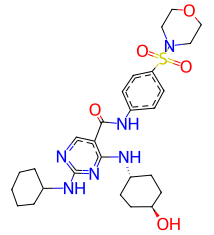 O=C(Nc1ccc(S(=O)(=O)N2CCOCC2)cc1)c1cnc(NC2CCCCC2)nc1N[C@H]1CC[C@H](O)CC1